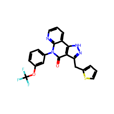 O=c1c2c(Cc3cccs3)n[nH]c2c2cccnc2n1-c1cccc(OC(F)(F)F)c1